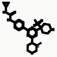 C[C@H]1COCCN1c1cc(C2(S(C)(=O)=O)CCNCC2)nc(-c2ccc(NC(=O)NC3CC3)cc2)n1